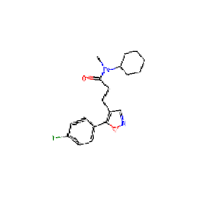 CN(C(=O)CCc1cnoc1-c1ccc(F)cc1)C1CCCCC1